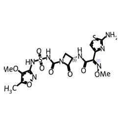 CO/N=C(\C(=O)N[C@H]1CN(C(=O)NS(=O)(=O)Nc2noc(C)c2OC)C1=O)c1csc(N)n1